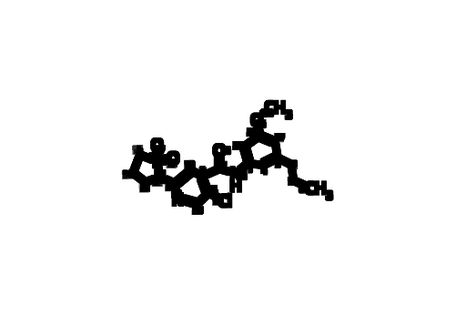 CCCc1cc(NC(=O)c2cc(N3CCCS3(=O)=O)ncc2Cl)cc(OC)c1